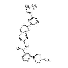 CCN(CC)c1cncc(-c2ccc3cnc(NC(=O)c4ccnc(N5CCN(C)CC5)c4)nc3c2)n1